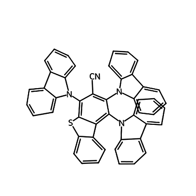 N#Cc1c(-n2c3ccccc3c3ccccc32)c(-n2c3ccccc3c3ccccc32)c2c(sc3ccccc32)c1-n1c2ccccc2c2ccccc21